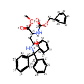 COC(=O)[C@H](CC(=O)NC(c1ccccc1)(c1ccccc1)c1ccccc1)NC(=O)OCc1ccccc1